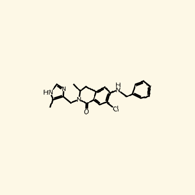 Cc1[nH]cnc1CN1C(=O)c2cc(Cl)c(NCc3ccccc3)cc2CC1C